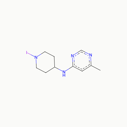 Cc1cc(NC2CCN(I)CC2)ncn1